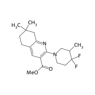 COC(=O)c1cc2c(nc1N1CCC(F)(F)C(C)C1)CC(C)(C)CC2